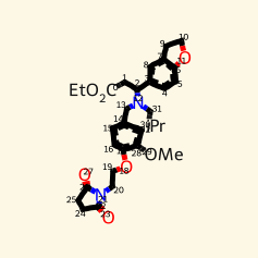 CCOC(=O)CC(c1ccc2c(c1)CCO2)N(Cc1ccc(OCCN2C(=O)CCC2=O)c(OC)c1)CC(C)C